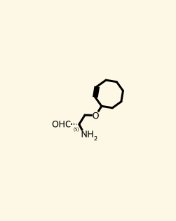 N[C@H](C=O)COC1C#CCCCCC1